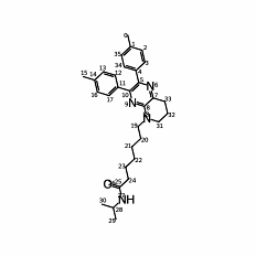 Cc1ccc(-c2nc3c(nc2-c2ccc(C)cc2)N(CCCCCCC(=O)NC(C)C)CCC3)cc1